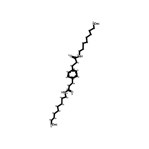 CCCCCCCCCCCCCCCCCCNC(=O)CCc1ccc(CCC(=O)NCCCCCCCCCCCCCCCCCC)cc1